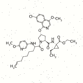 C=CCCCCCC(Nc1ccc(OC)nc1)C(=O)N1C[C@H](Oc2ncc(OC)c3ccc(Cl)cc23)C[C@H]1C(=O)N[C@]1(C(=O)OCC)C[C@H]1C=C